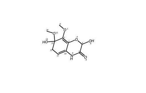 COC1=C2OC(O)C(=O)NC2=CCC1(O)OC